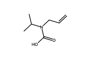 C=CCN(C(=O)O)C(C)C